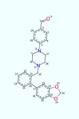 O=[C]c1ccc(N2CCN(Cc3ccccc3-c3ccc4c(c3)OCO4)CC2)cc1